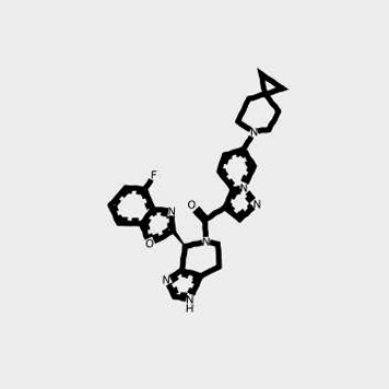 O=C(c1cnn2cc(N3CCC4(CC3)CC4)ccc12)N1CCc2[nH]cnc2[C@H]1c1nc2c(F)cccc2o1